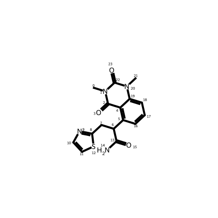 Cn1c(=O)c2c(C(Cc3nccs3)C(N)=O)cccc2n(C)c1=O